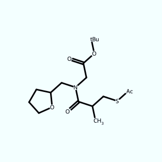 CC(=O)SCC(C)C(=O)N(CC(=O)OC(C)(C)C)CC1CCCO1